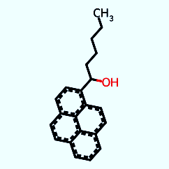 CCCCCC(O)c1ccc2ccc3cccc4ccc1c2c34